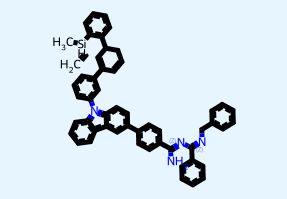 C=C[SiH](C)c1ccccc1C1C=C(c2cccc(-n3c4ccccc4c4cc(-c5ccc(/C(N)=N/C(=N\Cc6ccccc6)c6ccccc6)cc5)ccc43)c2)C=CC1